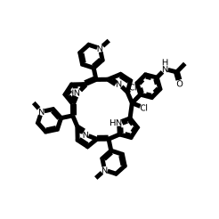 CC(=O)Nc1ccc(C2(Cl)c3ccc([nH]3)C(C3=CN(C)CC=C3)=C3C=CC(=N3)C(C3=CN(C)CC=C3)=c3ccc([nH]3)=C(C3=CN(C)CC=C3)C3=NC2(Cl)C=C3)cc1